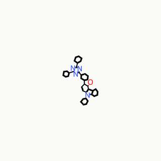 C1=CC2c3cc(-c4nc(-c5ccccc5)nc(-c5ccccc5)n4)ccc3OC2c2c1n(-c1ccccc1)c1ccccc21